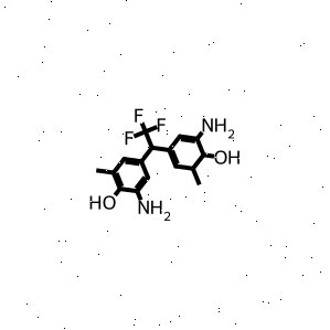 Cc1cc(C(C2=CC(C)C(O)C(N)=C2)C(F)(F)F)cc(N)c1O